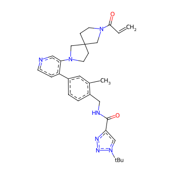 C=CC(=O)N1CCC2(CCN(c3cnccc3-c3ccc(CNC(=O)c4cn(C(C)(C)C)nn4)c(C)c3)C2)C1